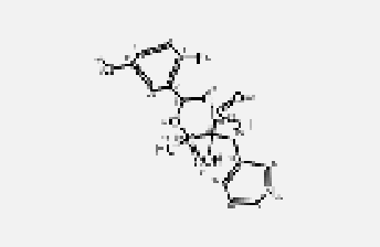 COc1ccc(F)c(C2OP(=O)(O)C(O)(Cc3cccnc3)P(=O)(O)O2)c1